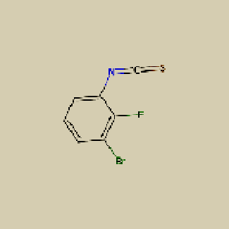 Fc1c(Br)cccc1N=C=S